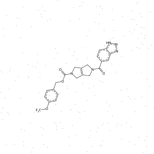 O=C(OCc1ccc(OC(F)(F)F)cc1)N1CC2=C(C1)CN(C(=O)c1ccc3[nH]nnc3c1)C2